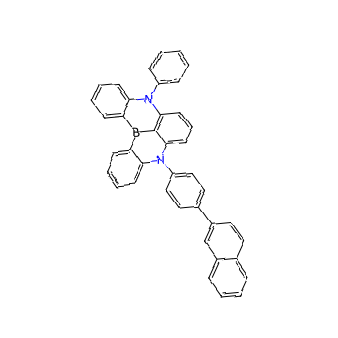 c1ccc(N2c3ccccc3B3c4ccccc4N(c4ccc(-c5ccc6ccccc6c5)cc4)c4cccc2c43)cc1